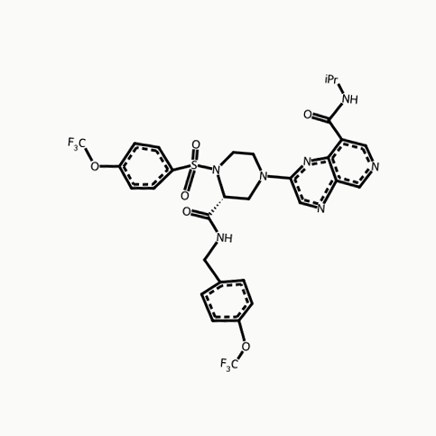 CC(C)NC(=O)c1cncc2ncc(N3CCN(S(=O)(=O)c4ccc(OC(F)(F)F)cc4)[C@@H](C(=O)NCc4ccc(OC(F)(F)F)cc4)C3)nc12